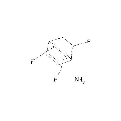 Fc1c2ccc(c1F)C(F)C2.N